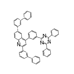 c1ccc(-c2cccc(-c3ccc4nc(-c5cccc(-c6ccccc6)c5)cc(-c5cccc(-c6nc(-c7ccccc7)nc(-c7ccccc7)n6)c5)c4c3)c2)cc1